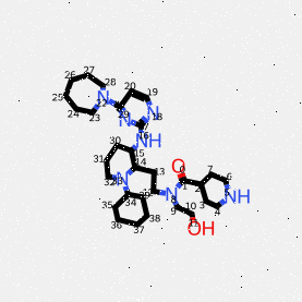 O=C(C1CCNCC1)N(CCO)CCC1C(Nc2nccc(N3CCCCCC3)n2)CCCN1C1CCCCC1